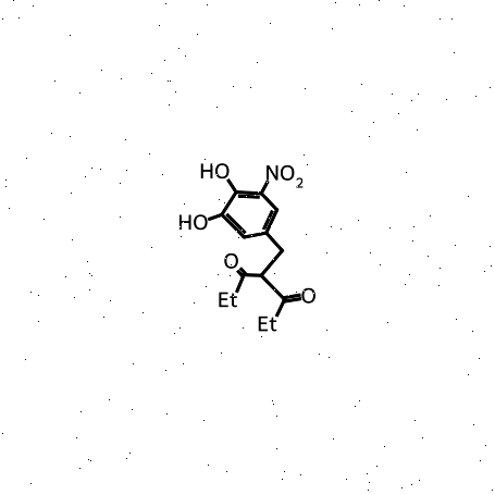 CCC(=O)C(Cc1cc(O)c(O)c([N+](=O)[O-])c1)C(=O)CC